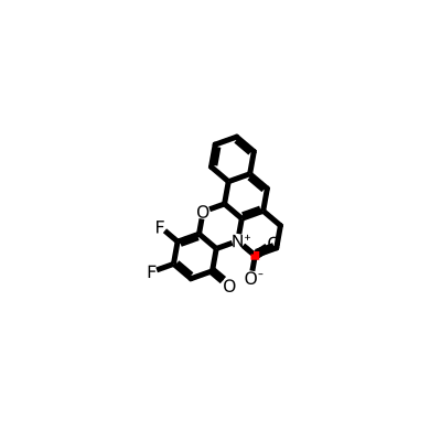 O=C1C=C(F)C(F)=C2OC3C4=C(C=C5C=CC=CC53)CC=C[N+]4(C(=O)[O-])C12